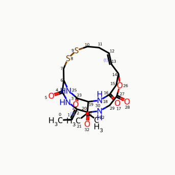 C/C=C1\NC(=O)C2CSSCC/C=C/C(CC(=O)NC(C(C)C)C(=O)N2)OC(=O)CNC1=O